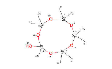 C[Si]1(C)O[Si](C)(C)O[Si](C)(C)O[Si](C)(O)O[Si](C)(C)O1